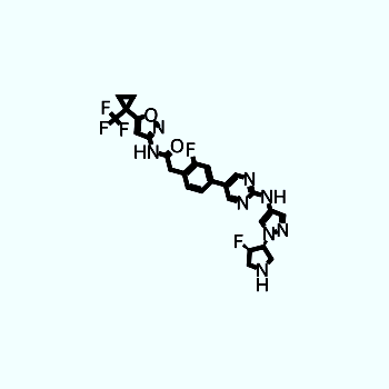 O=C(Cc1ccc(-c2cnc(Nc3cnn([C@H]4CNC[C@H]4F)c3)nc2)cc1F)Nc1cc(C2(C(F)(F)F)CC2)on1